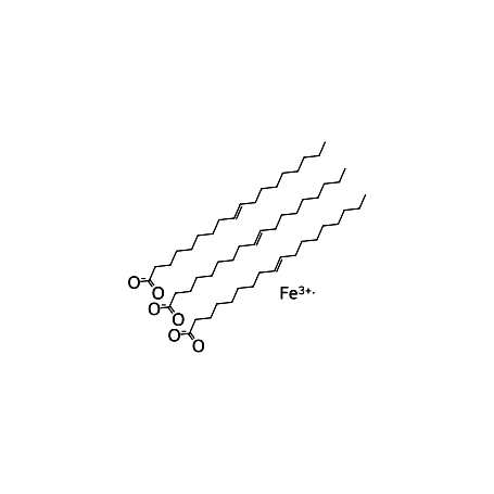 CCCCCCCCC=CCCCCCCCC(=O)[O-].CCCCCCCCC=CCCCCCCCC(=O)[O-].CCCCCCCCC=CCCCCCCCC(=O)[O-].[Fe+3]